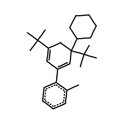 Cc1ccccc1C1=CC(C2CCCCC2)(C(C)(C)C)[CH]C(C(C)(C)C)=C1